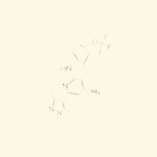 Cc1nn(C)c(C)c1-c1cc(C#N)cc(Nc2ccc(OC(F)(F)F)cc2)n1